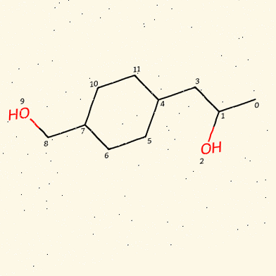 CC(O)CC1CCC(CO)CC1